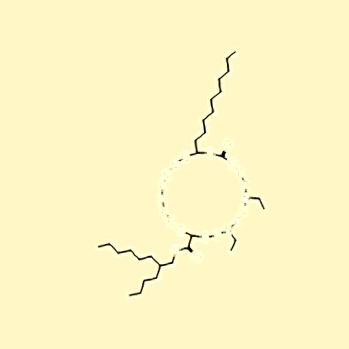 CCCCCCCCCCC1CCCCCCCCC(C(=O)OCC(CCCC)CCCCCC)CCN(CC)CCN(CC)CCOC(=O)O1